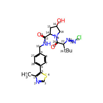 Cc1ncsc1-c1ccc(CNC(=O)C2CC(O)CN2C(=O)C(N=NCl)C(C)(C)C)cc1